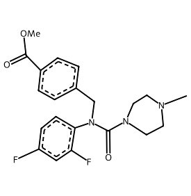 COC(=O)c1ccc(CN(C(=O)N2CCN(C)CC2)c2ccc(F)cc2F)cc1